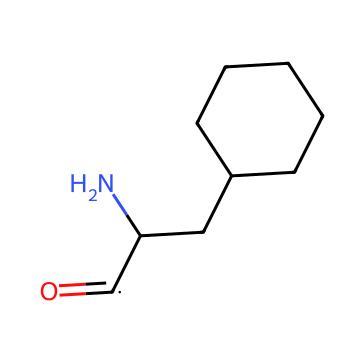 NC([C]=O)CC1CCCCC1